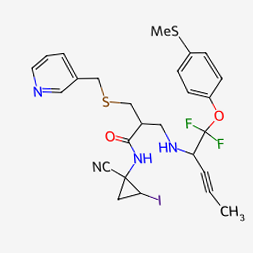 CC#CC(NCC(CSCc1cccnc1)C(=O)NC1(C#N)CC1I)C(F)(F)Oc1ccc(SC)cc1